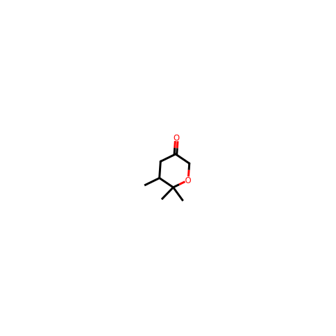 CC1CC(=O)COC1(C)C